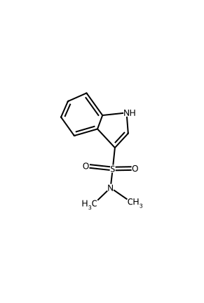 CN(C)S(=O)(=O)c1c[nH]c2ccccc12